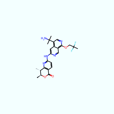 C[C@@H]1OC(=O)c2ccc(Nc3cc4c(C(C)(C)N)cnc(OCC(C)(F)F)c4cn3)nc2[C@H]1C